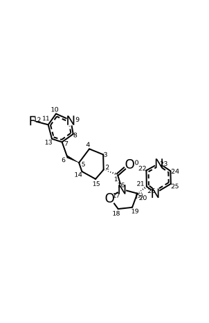 O=C([C@H]1CC[C@H](Cc2cncc(F)c2)CC1)N1OCC[C@H]1c1cnccn1